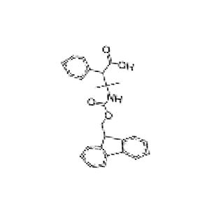 CC(C)(NC(=O)OCC1c2ccccc2-c2ccccc21)C(C(=O)O)c1ccccc1